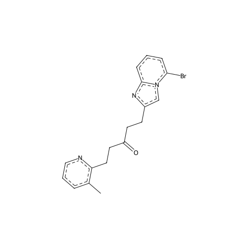 Cc1cccnc1CCC(=O)CCc1cn2c(Br)cccc2n1